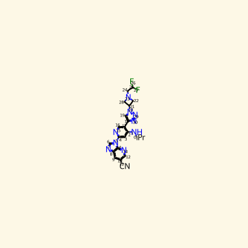 CC(C)Nc1cc(-n2cnc3cc(C#N)cnc32)ncc1-c1cn(C2CN(CC(F)F)C2)nn1